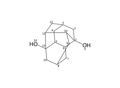 OC12CC3CC4C1CC1CC2C(C3)C4(O)C1